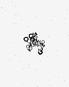 CC(C)OC(=O)[C@H](O)[C@H](CC1CCCCC1)N(CC1(O)CCCCC1)C(=O)[C@@H](CC(=O)NCC(=O)N(C)CCc1ccccn1)Cc1nccs1